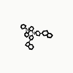 c1ccc(-n2c3ccccc3c3c(N(c4ccc(-c5ccc6ccccc6c5)cc4)c4ccc(-c5cccc6ccccc56)cc4)cccc32)cc1